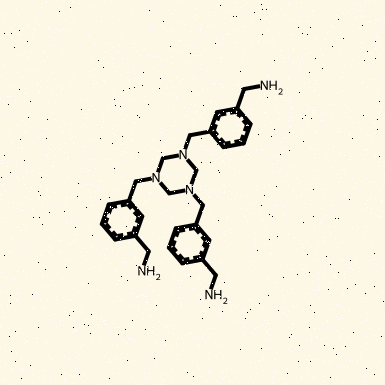 NCc1cccc(CN2CN(Cc3cccc(CN)c3)CN(Cc3cccc(CN)c3)C2)c1